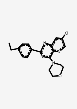 CCc1ccc(-c2nc(N3CCOCC3)c3ncc(Cl)cc3n2)cc1